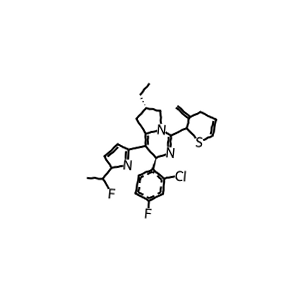 C=C1CC=CSC1C1=N[C@@H](c2ccc(F)cc2Cl)C(C2=NC(C(C)F)C=C2)=C2C[C@H](CC)CN12